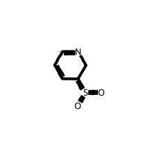 O=S(=O)=C1C=C[C]=NC1